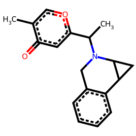 Cc1coc(C(C)N2Cc3ccccc3C3CC32)cc1=O